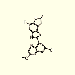 COc1cnc2c(-c3nc4cc(F)c5c(c4s3)CC(C)O5)cc(Cl)cc2c1